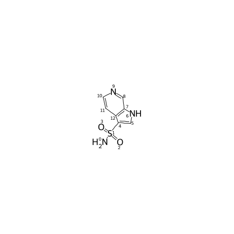 NS(=O)(=O)c1c[nH]c2cnccc12